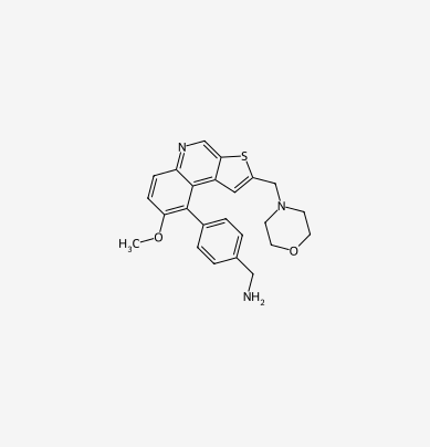 COc1ccc2ncc3sc(CN4CCOCC4)cc3c2c1-c1ccc(CN)cc1